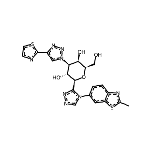 Cc1nc2ccc(-n3cnnc3[C@@H]3O[C@H](CO)[C@H](O)[C@H](n4cc(-c5nccs5)nn4)[C@H]3O)cc2s1